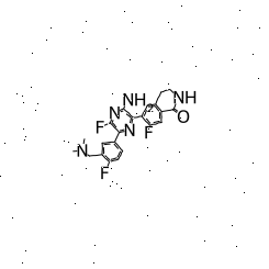 CN(C)Cc1cc(-c2nc(-c3cc4c(cc3F)C(=O)NCC4)c(N)nc2F)ccc1F